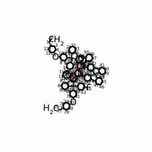 C=Cc1ccc(Oc2ccc(C3(c4ccc(F)cc4)c4ccccc4-c4ccc(N(c5ccc6c(c5)C5(c7ccccc7-6)c6ccccc6-c6ccc(N(c7ccc8c(c7)C(c7ccc(F)cc7)(c7ccc(Oc9ccc(C=C)cc9)cc7)c7ccccc7-8)c7ccc8oc9ccccc9c8c7)cc65)c5ccc6oc7ccccc7c6c5)cc43)cc2)cc1